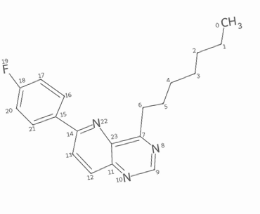 CCCCCCCc1ncnc2ccc(-c3ccc(F)cc3)nc12